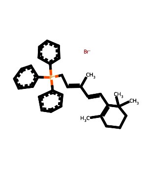 CC1=C(/C=C/C(C)=C/C[P+](c2ccccc2)(c2ccccc2)c2ccccc2)C(C)(C)CCC1.[Br-]